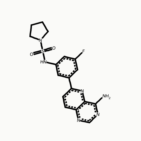 Nc1ncnc2ccc(-c3cc(F)cc(NS(=O)(=O)N4CCCC4)c3)nc12